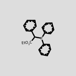 CCOC(=O)C(c1ccccc1)P(c1ccccc1)c1ccccc1